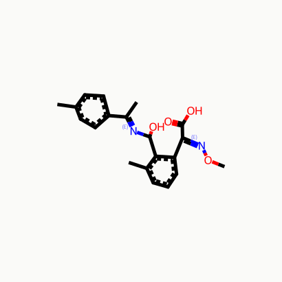 CO/N=C(/C(=O)O)c1cccc(C)c1C(O)/N=C(\C)c1ccc(C)cc1